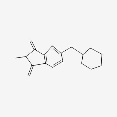 CC1C(=O)c2ccc(CC3CCCCC3)cc2C1=O